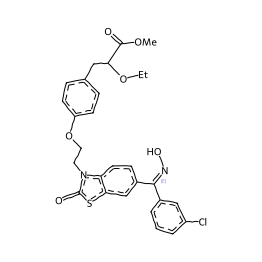 CCOC(Cc1ccc(OCCn2c(=O)sc3cc(/C(=N\O)c4cccc(Cl)c4)ccc32)cc1)C(=O)OC